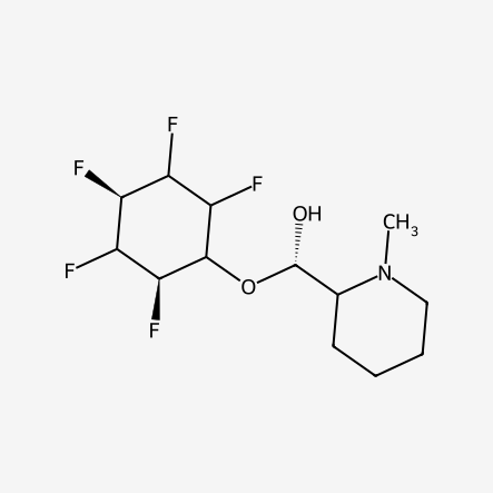 CN1CCCCC1[C@@H](O)OC1C(F)C(F)[C@H](F)C(F)[C@@H]1F